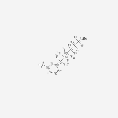 CC(C)(C)C(F)(F)C(F)(F)C(F)(F)C(F)(F)C(F)(F)C(F)(F)c1cccc(C(F)(F)F)c1